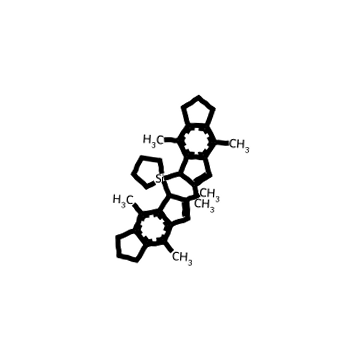 CC1=Cc2c(C)c3c(c(C)c2C1[Si]1(C2C(C)=Cc4c(C)c5c(c(C)c42)CCC5)CCCC1)CCC3